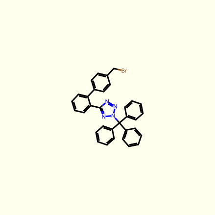 BrCc1ccc(-c2ccccc2-c2nnn(C(c3ccccc3)(c3ccccc3)c3ccccc3)n2)cc1